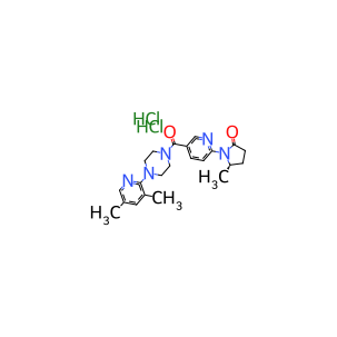 Cc1cnc(N2CCN(C(=O)c3ccc(N4C(=O)CC[C@H]4C)nc3)CC2)c(C)c1.Cl.Cl